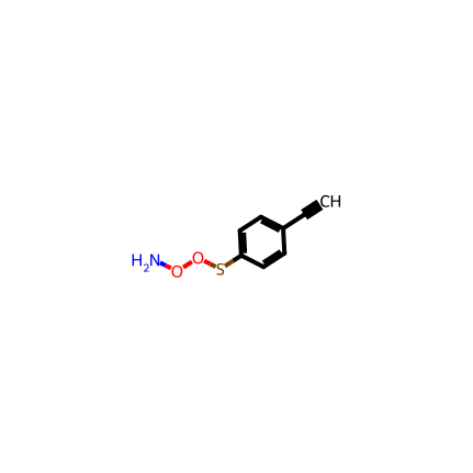 C#Cc1ccc(SOON)cc1